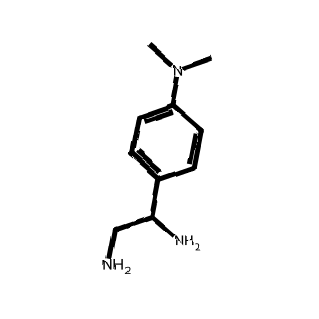 CN(C)c1ccc(C(N)CN)cc1